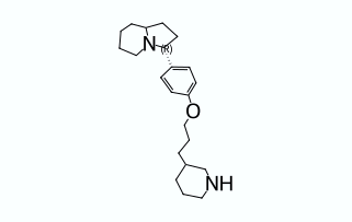 c1cc([C@H]2CCC3CCCCN32)ccc1OCCCC1CCCNC1